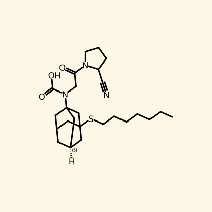 CCCCCCCSC12CC3C[C@H](C1)CC(N(CC(=O)N1CCCC1C#N)C(=O)O)(C3)C2